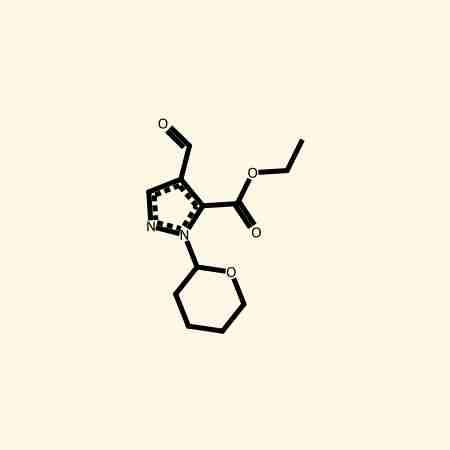 CCOC(=O)c1c(C=O)cnn1C1CCCCO1